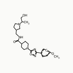 COc1ccc(-c2noc(N3CCC(C(=O)NCC4CCN(C(C)CO)C4)CC3)n2)cc1